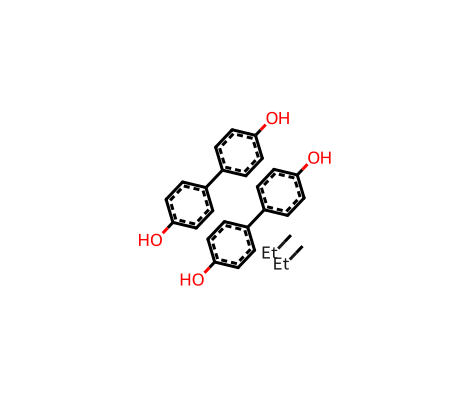 CCC.CCC.Oc1ccc(-c2ccc(O)cc2)cc1.Oc1ccc(-c2ccc(O)cc2)cc1